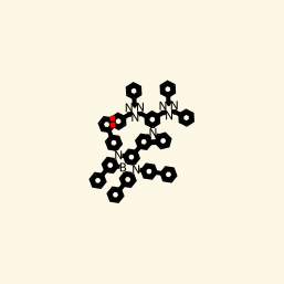 c1ccc(-c2ccc(N3c4ccc(-c5ccccc5)cc4B4c5cc(-c6ccccc6)ccc5N(c5ccc(-c6ccccc6)cc5)c5cc(-c6ccc7c(c6)c6ccccc6n7-c6cc(-c7nc(-c8ccccc8)nc(-c8ccccc8)n7)cc(-c7nc(-c8ccccc8)nc(-c8ccccc8)n7)c6)cc3c54)cc2)cc1